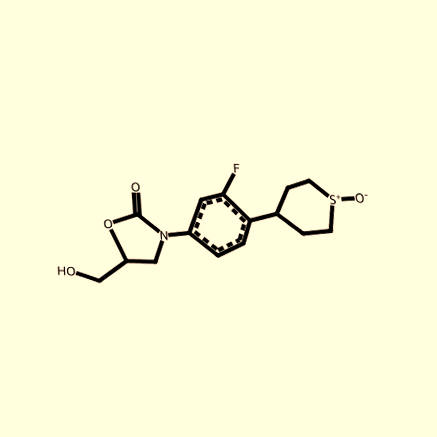 O=C1OC(CO)CN1c1ccc(C2CC[S+]([O-])CC2)c(F)c1